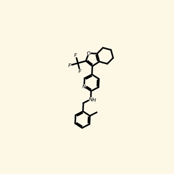 Cc1ccccc1CNc1ccc(-c2c(C(F)(F)F)oc3c2CCCC3)cn1